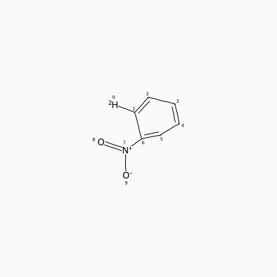 [2H]c1ccccc1[N+](=O)[O-]